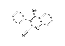 N#Cc1oc2ccccc2c(=[Se])c1-c1ccccc1